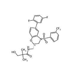 CC(C)(CO)C(=O)NC[C@H]1CN(S(=O)(=O)c2cccc(C(F)(F)F)c2)c2cc(-c3cc(F)ccc3F)ccc2O1